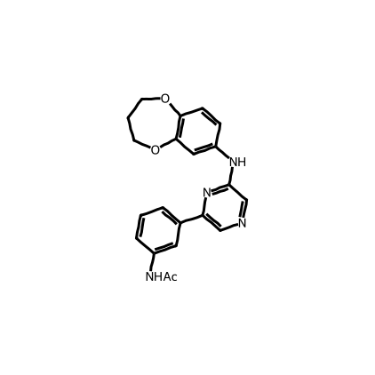 CC(=O)Nc1cccc(-c2cncc(Nc3ccc4c(c3)OCCCO4)n2)c1